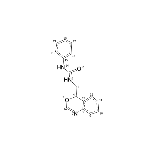 O=C(NCC1O[C]=Nc2ccccc21)Nc1ccccc1